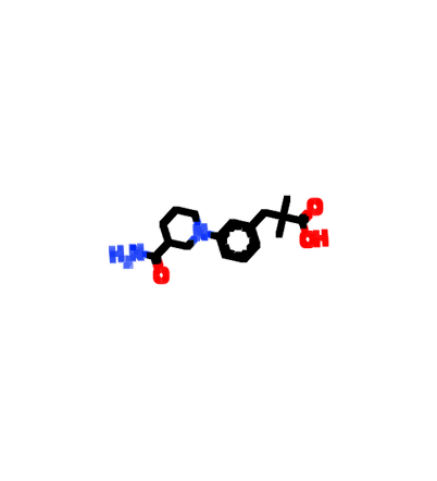 CC(C)(Cc1cccc(N2CCCC(C(N)=O)C2)c1)C(=O)O